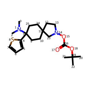 CN(C)C1(c2cccs2)CCC2(CCN(OC(=O)OC(C)(C)C)C2)CC1